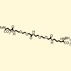 BNC(CCCCNC(=O)COCCOCCNC(=O)COCCOCCNC(=O)CCC(NC)C(=O)O)C(=O)O